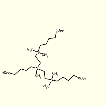 CCCCCCCCCCCCCC[N+](C)(C)CC[N+](C)(CCCCCCCCCCCCCC)CC[N+](C)(C)CCCCCCCCCCCCCC